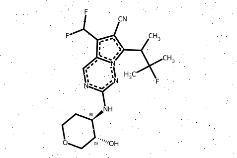 CC(c1c(C#N)c(C(F)F)c2cnc(N[C@@H]3CCOC[C@H]3O)nn12)C(C)(C)F